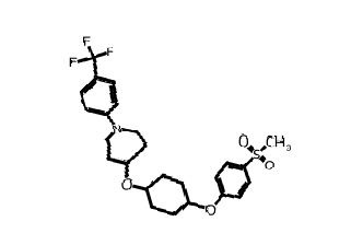 CS(=O)(=O)c1ccc(OC2CCC(OC3CCN(c4ccc(C(F)(F)F)cc4)CC3)CC2)cc1